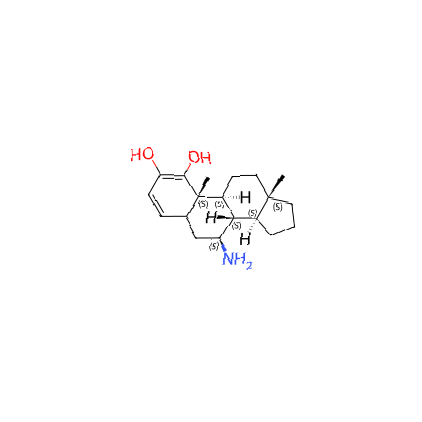 C[C@@]12CCC[C@H]1[C@@H]1[C@@H](N)CC3C=CC(O)=C(O)[C@]3(C)[C@H]1CC2